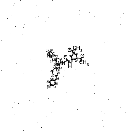 CC(=O)c1cc(NC(=O)N[C@@H]2CCN(Cc3nccs3)C[C@H]2CN2CCCC(Cc3ccc(F)cc3)C2)cc(C(C)=O)c1